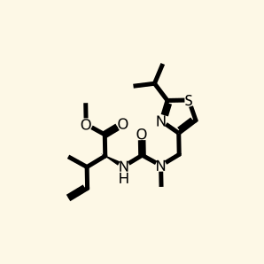 C=CC(C)[C@H](NC(=O)N(C)Cc1csc(C(C)C)n1)C(=O)OC